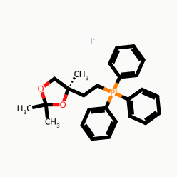 CC1(C)OC[C@@](C)(CC[P+](c2ccccc2)(c2ccccc2)c2ccccc2)O1.[I-]